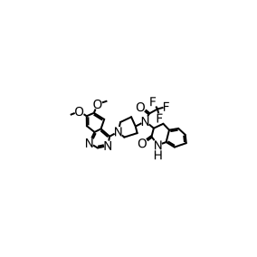 COc1cc2ncnc(N3CCC(N(C(=O)C(F)(F)F)C4Cc5ccccc5NC4=O)CC3)c2cc1OC